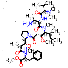 CC[C@H](C)[C@@H]([C@@H](CC(=O)N1CCC[C@H]1[C@H](OC)[C@@H](C)C(=O)N[C@@H](Cc1ccccc1)C(=O)OC)OC)N(C)C(=O)[C@@H](NC(=O)[C@H](C(C)C)N(C)C)[C@H](C)N